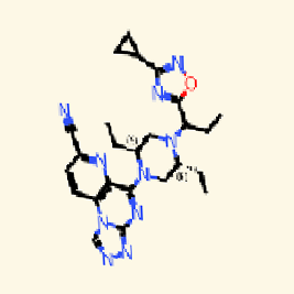 CCC(c1nc(C2CC2)no1)N1C[C@H](CC)N(c2nc3nncn3c3ccc(C#N)nc23)C[C@H]1CC